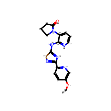 CC(C)Oc1ccc(-c2nsc(Nc3ncccc3N3CCCC3=O)n2)nc1